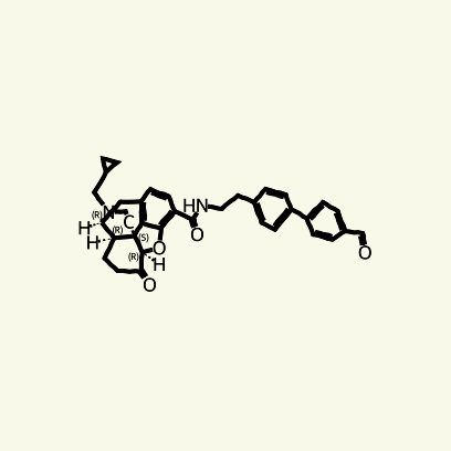 O=Cc1ccc(-c2ccc(CCNC(=O)c3ccc4c5c3O[C@H]3C(=O)CC[C@H]6[C@@H](C4)N(CC4CC4)CC[C@]536)cc2)cc1